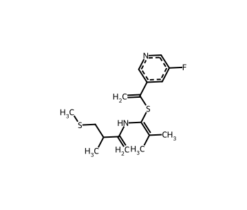 C=C(SC(NC(=C)C(C)CSC)=C(C)C)c1cncc(F)c1